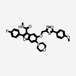 CNC(=O)c1c(-c2ccc(F)cc2)oc2cc(N3CCOCC3)c(OCc3noc(-c4ccc(OC)cc4)n3)cc12